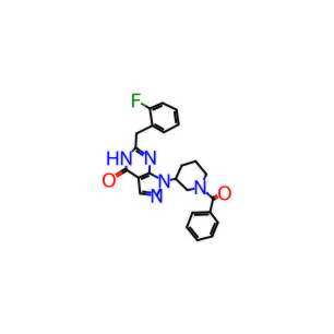 O=C(c1ccccc1)N1CCCC(n2ncc3c(=O)[nH]c(Cc4ccccc4F)nc32)C1